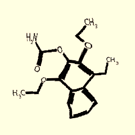 CCOc1c(OC(N)=O)c(OCC)c2ccccc2c1CC